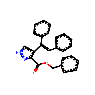 O=C(OCc1ccccc1)c1n[nH]cc1C(=Cc1ccccc1)c1ccccc1